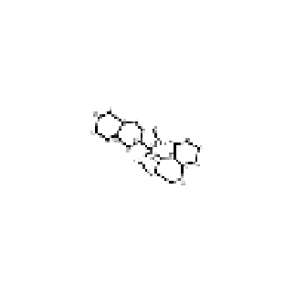 CO[Si](OC)(N1CCC2CCCCC2C1)N1CCCC2CCCCC21